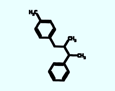 Cc1ccc(CC(C)C(C)c2ccccc2)cc1